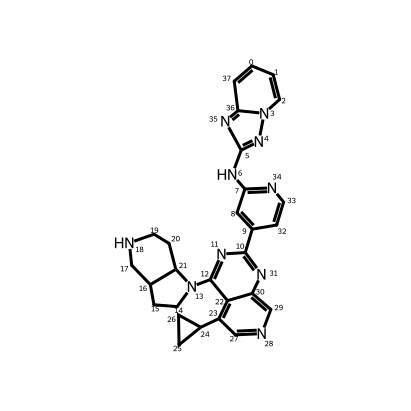 c1ccn2nc(Nc3cc(-c4nc(N5CCC6CNCCC65)c5c(C6CC6)cncc5n4)ccn3)nc2c1